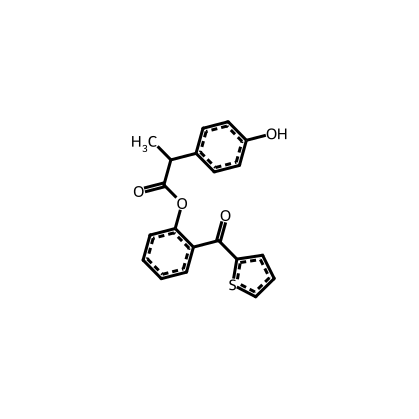 CC(C(=O)Oc1ccccc1C(=O)c1cccs1)c1ccc(O)cc1